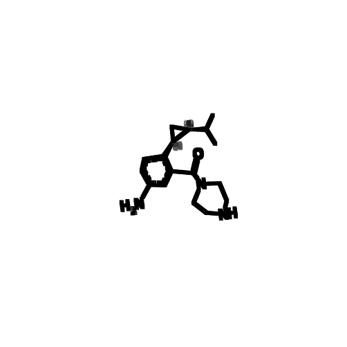 CC(C)[C@@H]1C[C@@H]1c1ccc(N)cc1C(=O)N1CCNCC1